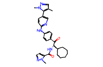 Cc1cnn(C)c1-c1ccc(Nc2ccc(C(=O)[C@@H](NC(=O)c3ccnn3C)C3CCCCCC3)cc2)nc1